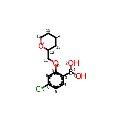 OB(O)c1ccc(Cl)cc1OCC1CCCCO1